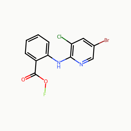 O=C(OF)c1ccccc1Nc1ncc(Br)cc1Cl